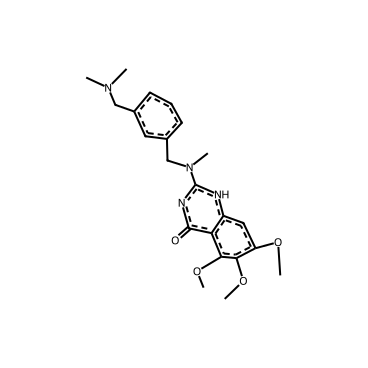 COc1cc2[nH]c(N(C)Cc3cccc(CN(C)C)c3)nc(=O)c2c(OC)c1OC